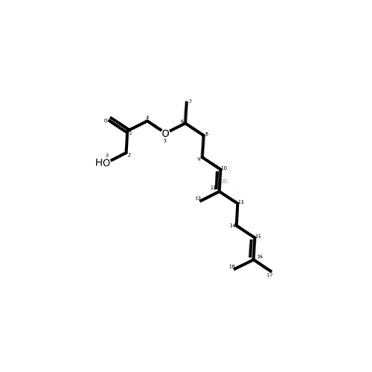 C=C(CO)COC(C)CC/C=C(\C)CCC=C(C)C